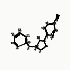 Brc1cnc(C2CCN(Cc3ccccc3)C2)nc1